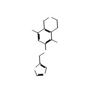 Cc1c(OCc2cnco2)cc(F)c2c1CCNC2